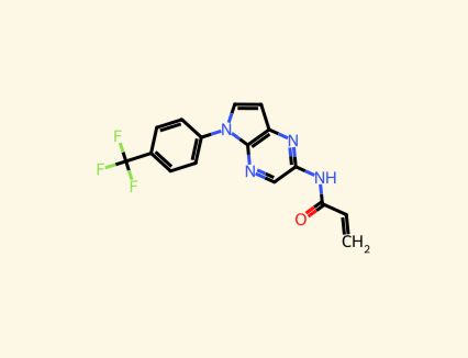 C=CC(=O)Nc1cnc2c(ccn2-c2ccc(C(F)(F)F)cc2)n1